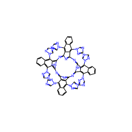 c1ccc2c(-n3cncn3)c3c(c(-n4cncn4)c2c1)-c1nc-3nc2[nH]c(nc3nc(nc4[nH]c(n1)c1c(-n5cncn5)c5ccccc5c(-n5cncn5)c41)-c1c-3c(-n3cncn3)c3ccccc3c1-n1cncn1)c1c(-n3cncn3)c3ccccc3c(-n3cncn3)c21